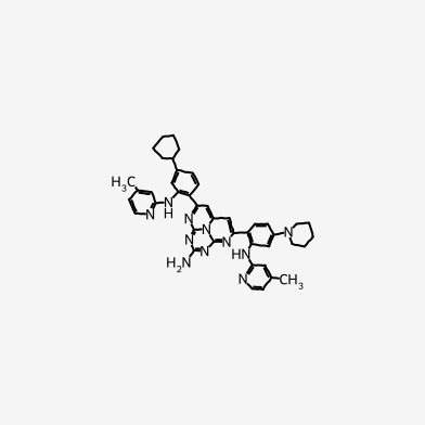 Cc1ccnc(Nc2cc(N3CCCCC3)ccc2C2=CC3=CC(c4ccc(C5CCCCC5)cc4Nc4cc(C)ccn4)=NC4=NC(N)=NC(=N2)N34)c1